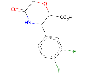 O=C1COC(C(=O)O)C(c2ccc(F)c(F)c2)N1